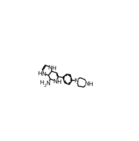 NC1NC(c2ccc(N3CCNCC3)cc2)=CC2NC=CNC12